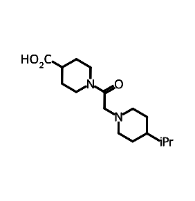 CC(C)C1CCN(CC(=O)N2CCC(C(=O)O)CC2)CC1